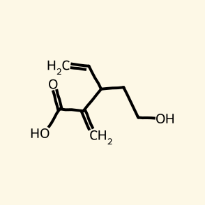 C=CC(CCO)C(=C)C(=O)O